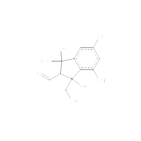 CCC1(C)c2c(C)cc(C)cc2C(C)(C)C1C=O